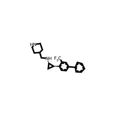 FC(F)(F)c1cc(-c2ccccc2)ccc1[C@H]1C[C@@H]1NCC1CCNCC1